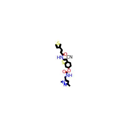 Cc1cc(CNC(=O)OC2CCc3c(sc(NC(=O)C=Cc4ccsc4)c3C#N)C2)n(C)n1